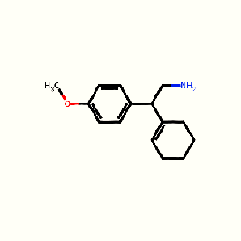 COc1ccc(C(CN)C2=CCCCC2)cc1